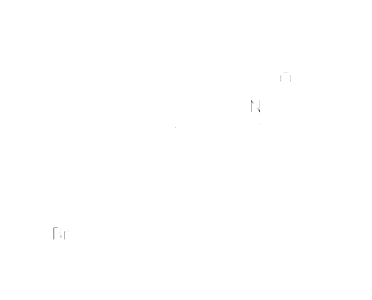 CON=Cc1ccc(Br)c(C)c1